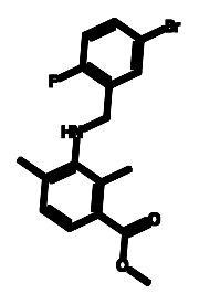 COC(=O)c1ccc(C)c(NCc2cc(Br)ccc2F)c1C